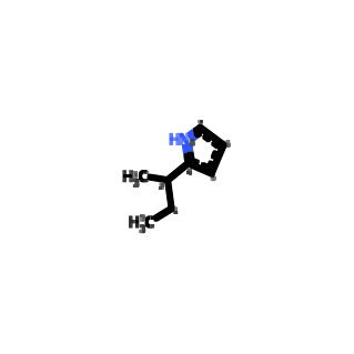 CCC(C)c1ccc[nH]1